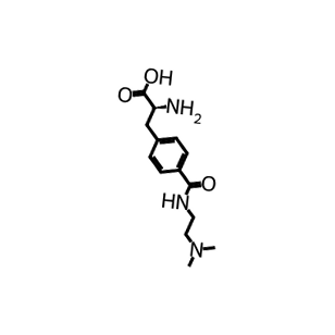 CN(C)CCNC(=O)c1ccc(C[C@H](N)C(=O)O)cc1